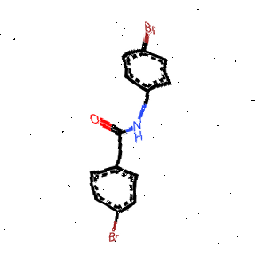 O=C(Nc1ccc(Br)cc1)c1ccc(Br)cc1